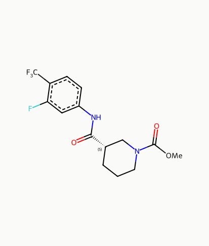 COC(=O)N1CCC[C@H](C(=O)Nc2ccc(C(F)(F)F)c(F)c2)C1